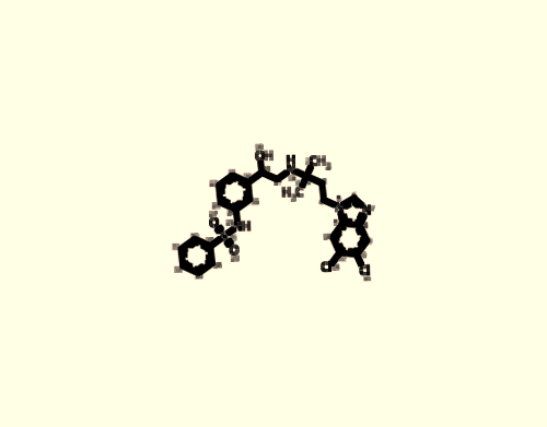 CC(C)(CCn1cnc2cc(Cl)c(Cl)cc21)NCC(O)c1cccc(NS(=O)(=O)c2ccccc2)c1